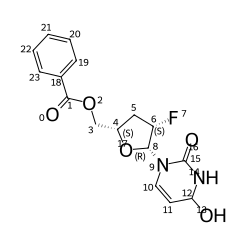 O=C(OC[C@@H]1C[C@H](F)[C@H](N2C=CC(O)NC2=O)O1)c1ccccc1